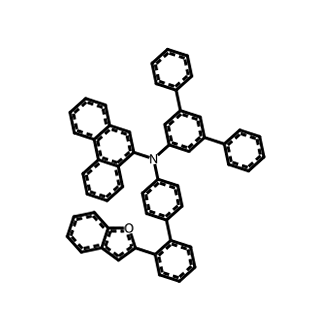 c1ccc(-c2cc(-c3ccccc3)cc(N(c3ccc(-c4ccccc4-c4cc5ccccc5o4)cc3)c3cc4ccccc4c4ccccc34)c2)cc1